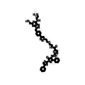 CCCSc1nc(NCCN)c2nnn(Cc3ccc(-c4cn(CCOCCNC(=O)c5cnc(N/N=C6/C(=O)N(c7nc(-c8ccccc8)cs7)N=C6c6ccccc6)s5)nn4)cc3)c2n1